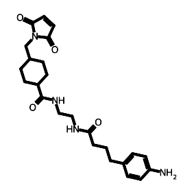 Nc1ccc(CCCC(=O)NCCNC(=O)C2CCC(CN3C(=O)C=CC3=O)CC2)cc1